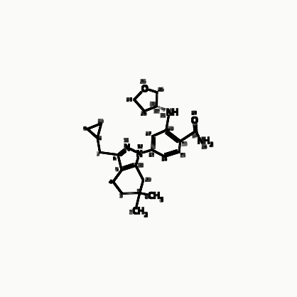 CC1(C)CCc2c(CC3CC3)nn(-c3ccc(C(N)=O)c(N[C@@H]4CCOC4)c3)c2C1